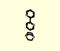 C1CN2CCN1CC2.c1ccc(-c2ccccn2)nc1